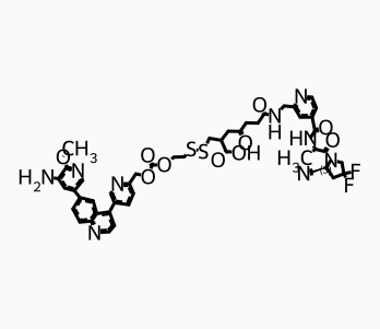 COc1ncc(-c2ccc3nccc(-c4ccc(COC(=O)OCCSSCC(CC(=O)CCC(=O)NCc5cc(C(=O)NC(C)C(=O)N6CC(F)(F)C[C@H]6C#N)ccn5)C(=O)O)nc4)c3c2)cc1N